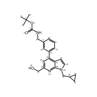 CC(C)(C)OC(=O)NCc1cccc(-c2nc(CO)nc3c2ccn3CC2CC2)c1